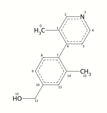 Cc1cnccc1-c1ccc(CO)cc1C